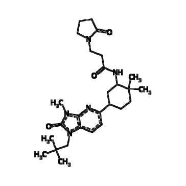 Cn1c(=O)n(CC(C)(C)C)c2ccc(C3CCC(C)(C)C(NC(=O)CCN4CCCC4=O)C3)nc21